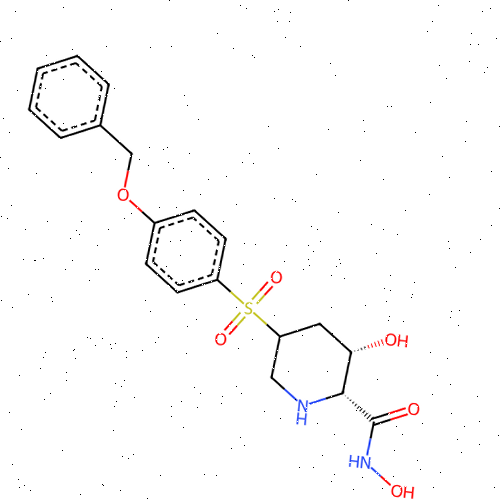 O=C(NO)[C@@H]1NCC(S(=O)(=O)c2ccc(OCc3ccccc3)cc2)C[C@@H]1O